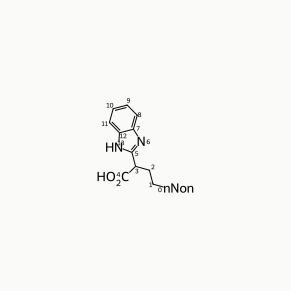 CCCCCCCCCCCC(C(=O)O)c1nc2ccccc2[nH]1